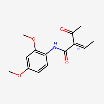 C/C=C(\C(C)=O)C(=O)Nc1ccc(OC)cc1OC